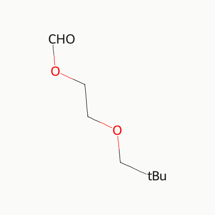 CC(C)(C)COCCOC=O